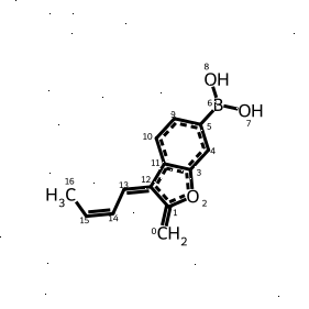 C=c1oc2cc(B(O)O)ccc2/c1=C/C=C\C